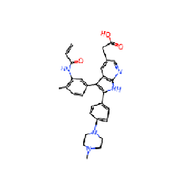 C=CC(=O)Nc1cc(-c2c(-c3ccc(N4CCN(C)CC4)cc3)[nH]c3ncc(CC(=O)O)cc23)ccc1C